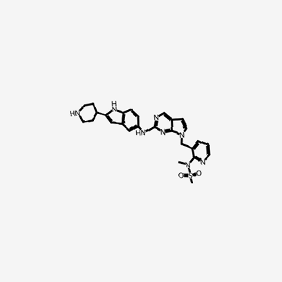 CN(c1ncccc1Cn1ccc2cnc(Nc3ccc4[nH]c(C5CCNCC5)cc4c3)nc21)S(C)(=O)=O